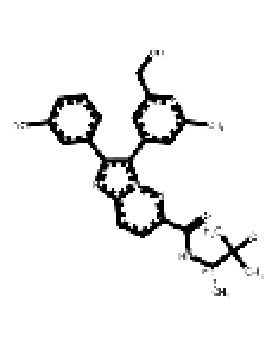 Cc1cc(-c2c(-c3cccc(C#N)c3)nc3ccc(C(=O)N[C@@H](C)C(C)(C)O)nn23)cc(CO)n1